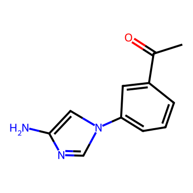 CC(=O)c1cccc(-n2cnc(N)c2)c1